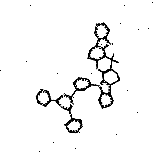 CC1(C)C2=C(Oc3ccc4c([nH]c5ccccc54)c31)c1c(c3ccccc3n1-c1cccc(-c3nc(-c4ccccc4)nc(-c4ccccc4)n3)c1)CC2